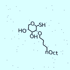 CCCCCCCCCCCCO[C@@H]1[C@@H](O)[C@H](O)CO[C@H]1S